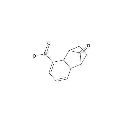 O=C1C2CCC1C1C([N+](=O)[O-])=CC=CC21